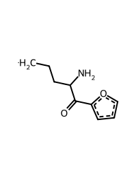 [CH2]CCC(N)C(=O)c1ccco1